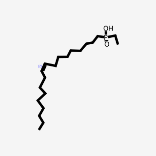 CCCCCCCC/C=C\CCCCCCCCP(=O)(O)CC